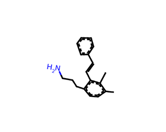 Cc1ccc(CCCN)c(C=Cc2ccccc2)c1C